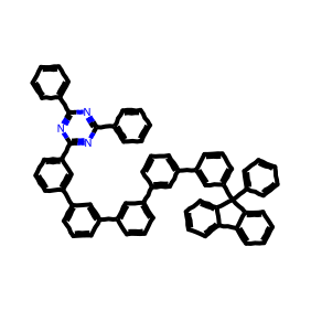 c1ccc(-c2nc(-c3ccccc3)nc(-c3cccc(-c4cccc(-c5cccc(-c6cccc(-c7cccc(C8(c9ccccc9)c9ccccc9-c9ccccc98)c7)c6)c5)c4)c3)n2)cc1